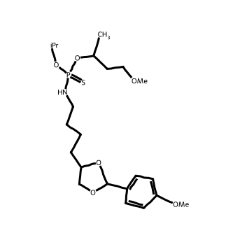 COCCC(C)OP(=S)(NCCCCC1COC(c2ccc(OC)cc2)O1)OC(C)C